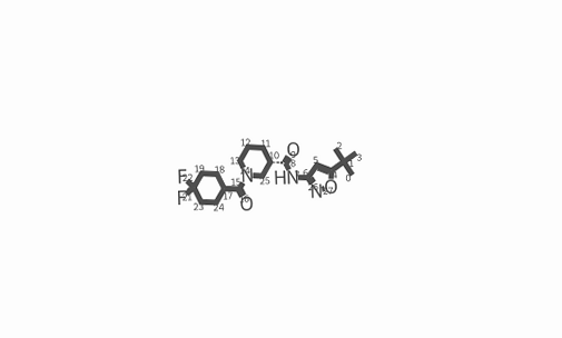 CC(C)(C)c1cc(NC(=O)[C@H]2CCCN(C(=O)C3CCC(F)(F)CC3)C2)no1